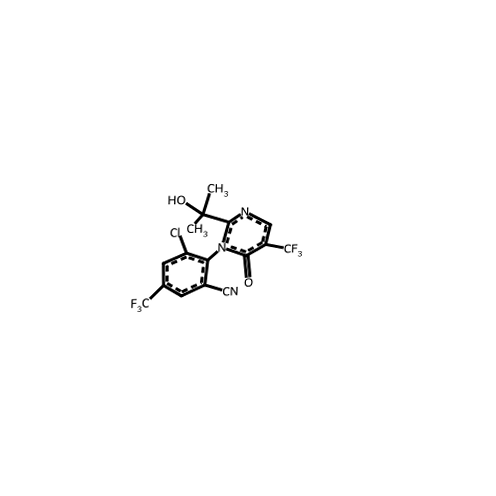 CC(C)(O)c1ncc(C(F)(F)F)c(=O)n1-c1c(Cl)cc(C(F)(F)F)cc1C#N